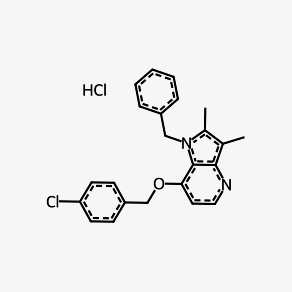 Cc1c(C)n(Cc2ccccc2)c2c(OCc3ccc(Cl)cc3)ccnc12.Cl